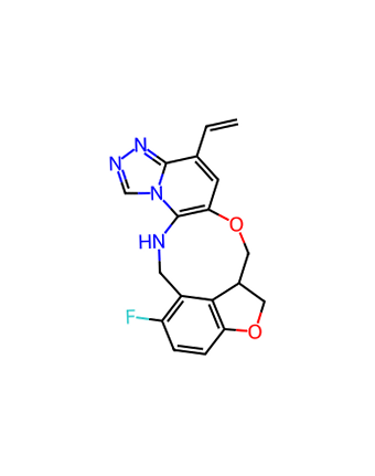 C=Cc1cc2c(n3cnnc13)NCc1c(F)ccc3c1C(CO3)CO2